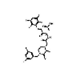 CC1C(=O)N(Cc2cc(F)cc(F)c2)CCN1CC(=O)N[C@@H](CC(=O)O)C(=O)COc1c(F)c(F)cc(F)c1F